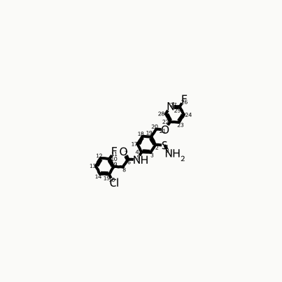 NSc1cc(NC(=O)Cc2c(F)cccc2Cl)ccc1COc1ccc(F)nc1